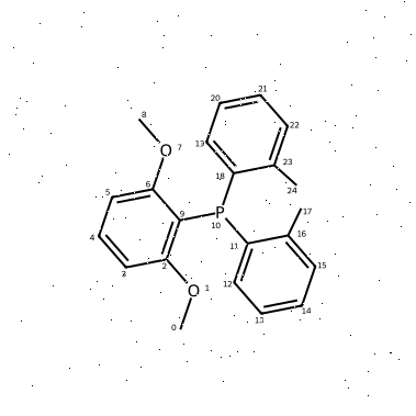 COc1cccc(OC)c1P(c1ccccc1C)c1ccccc1C